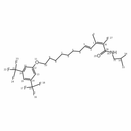 CC(/C=C/CCCCCCCOc1cc(C(F)(F)F)cc(C(F)(F)F)c1)=C(\F)C(=O)NCC(C)C